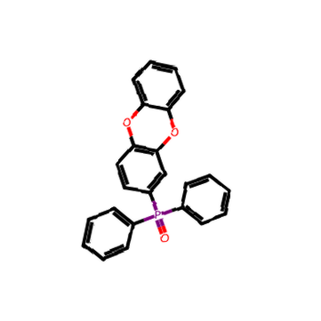 O=P(c1ccccc1)(c1ccccc1)c1ccc2c(c1)Oc1ccccc1O2